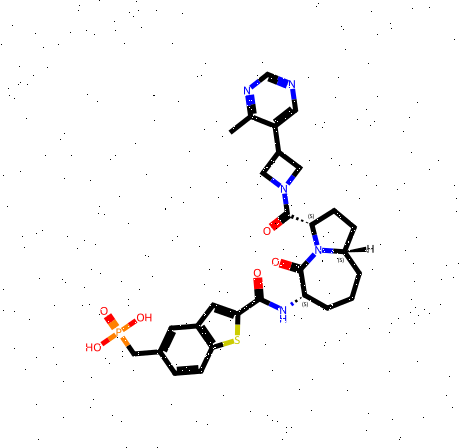 Cc1ncncc1C1CN(C(=O)[C@@H]2CC[C@@H]3CCC[C@H](NC(=O)c4cc5cc(CP(=O)(O)O)ccc5s4)C(=O)N32)C1